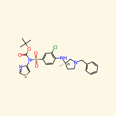 CC(C)(C)OC(=O)N(c1cscn1)S(=O)(=O)c1ccc(N[C@]2(C)CCN(Cc3ccccc3)C2)c(Cl)c1